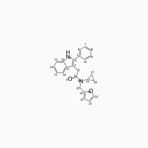 O=C(Cc1c(-c2ccccc2)[nH]c2ccccc12)N(Cc1ccco1)C1CC1